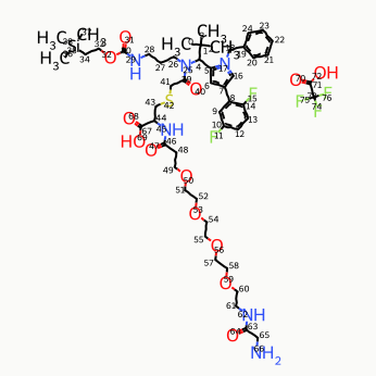 CC(C)(C)C(c1cc(-c2cc(F)ccc2F)cn1Cc1ccccc1)N(CCCNC(=O)OCC[Si](C)(C)C)C(=O)CSCC(NC(=O)CCOCCOCCOCCOCCNC(=O)CN)C(=O)O.O=C(O)C(F)(F)F